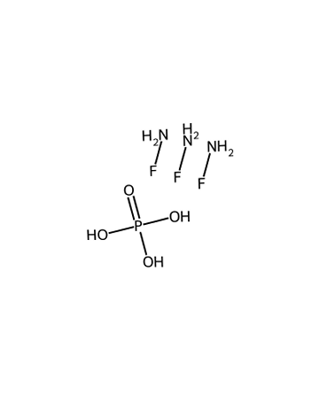 NF.NF.NF.O=P(O)(O)O